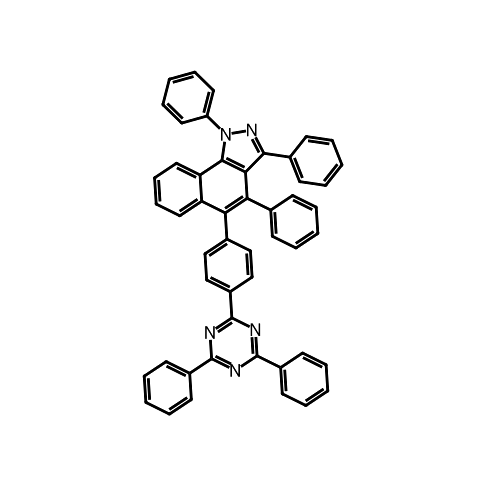 c1ccc(-c2nc(-c3ccccc3)nc(-c3ccc(-c4c(-c5ccccc5)c5c(-c6ccccc6)nn(-c6ccccc6)c5c5ccccc45)cc3)n2)cc1